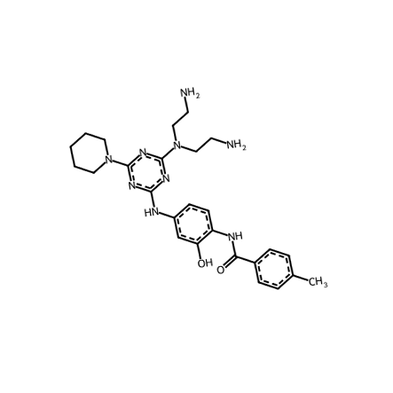 Cc1ccc(C(=O)Nc2ccc(Nc3nc(N(CCN)CCN)nc(N4CCCCC4)n3)cc2O)cc1